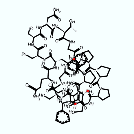 CC(C)C[C@H](NC(=O)[C@H](Cc1c[nH]c2ccccc12)NC(=O)[C@H](CCC(N)=O)NC(=O)[C@@H](NC(=O)[C@H](Cc1ccccc1)NC(=O)[C@@H](N)CC(=O)O)C(C)C)C(=O)N[C@@H](CC(C)C)C(=O)N[C@@H](CC(N)=O)C(=O)N[C@H](C(=O)NCC(=O)NCC(=O)N1CCC[C@H]1C(=O)N[C@@H](CO)C(=O)N[C@@H](CO)C(=O)NCC(=O)N[C@@H](C)C(=O)N1CCC[C@H]1C(=O)N1CCC[C@H]1C(=O)N1CCC[C@H]1C(=O)N[C@@H](CO)C(N)=O)[C@@H](C)O